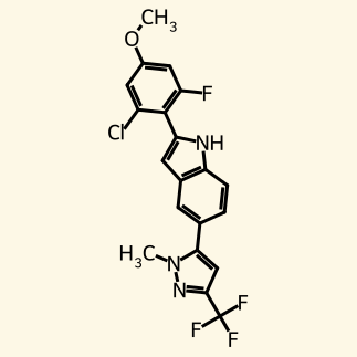 COc1cc(F)c(-c2cc3cc(-c4cc(C(F)(F)F)nn4C)ccc3[nH]2)c(Cl)c1